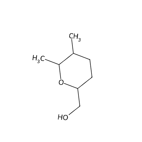 CC1CCC(CO)OC1C